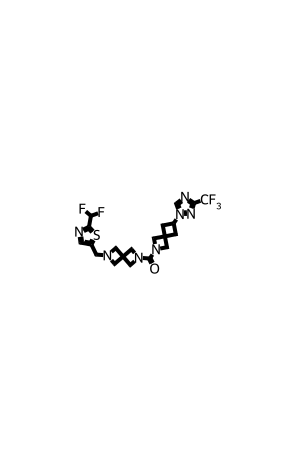 O=C(N1CC2(CC(n3cnc(C(F)(F)F)n3)C2)C1)N1CC2(CN(Cc3cnc(C(F)F)s3)C2)C1